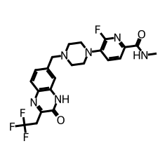 CNC(=O)c1ccc(N2CCN(Cc3ccc4nc(CC(F)(F)F)c(=O)[nH]c4c3)CC2)c(F)n1